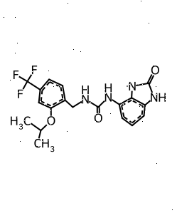 CC(C)Oc1cc(C(F)(F)F)ccc1CNC(=O)Nc1cccc2c1[N]C(=O)N2